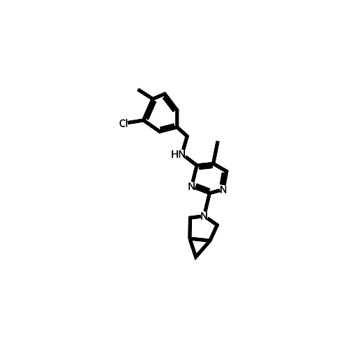 Cc1ccc(CNc2nc(N3CC4CC4C3)ncc2C)cc1Cl